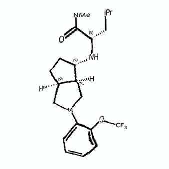 CNC(=O)[C@H](CC(C)C)N[C@H]1CC[C@@H]2CN(c3ccccc3OC(F)(F)F)C[C@@H]21